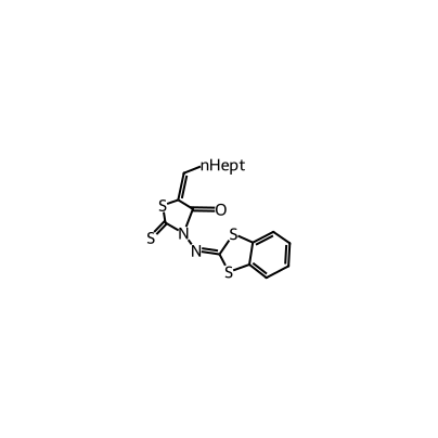 CCCCCCCC=C1SC(=S)N(N=c2sc3ccccc3s2)C1=O